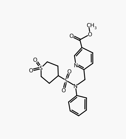 COC(=O)c1ccc(CN(c2ccccc2)S(=O)(=O)C2CCS(=O)(=O)CC2)nc1